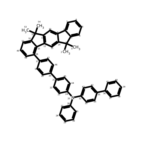 CC1(C)c2ccccc2-c2cc3c(cc21)-c1c(-c2ccc(-c4ccc(N(c5ccccc5)c5ccc(-c6ccccc6)cc5)cc4)cc2)cccc1C3(C)C